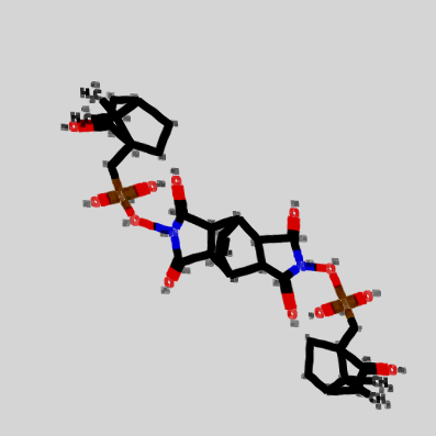 CC1(C)C2CCC1(CS(=O)(=O)ON1C(=O)C3C4C=CC(C3C1=O)C1C(=O)N(OS(=O)(=O)CC35CCC(CC3=O)C5(C)C)C(=O)C41)C(=O)C2